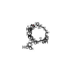 CO[C@H]1C[C@@H]2CC[C@@H](C)C(=O)C(O)(O2)C(=O)N2CCCC[C@H]2C(=O)O[C@H]([C@H](C)C[C@@H]2CC[C@@H](O)[C@H](OC)C2)CC(=O)[C@H](C)/C=C(\C)[C@@H](O)[C@@H](OC)C(=O)[C@H](C)C[C@H](C)/C=C/C=C/C=C/1C